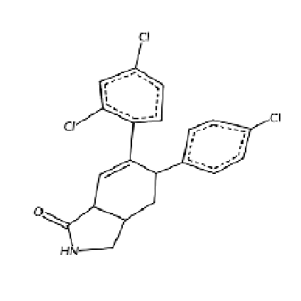 O=C1NCC2CC(c3ccc(Cl)cc3)C(c3ccc(Cl)cc3Cl)=CC12